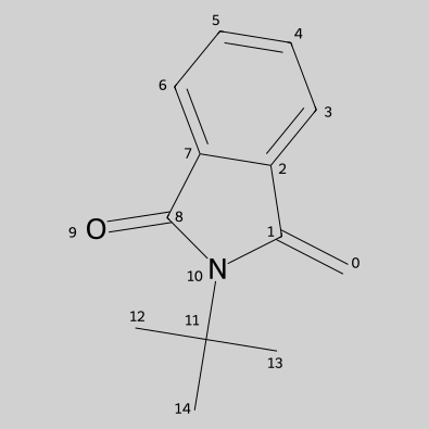 C=C1c2ccccc2C(=O)N1C(C)(C)C